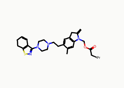 C=C1Cc2cc(CCN3CCN(c4nsc5c4C=CCC5)CC3)c(C)cc2N1COC(=O)CC(C)C